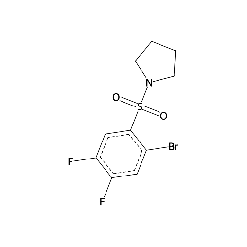 O=S(=O)(c1cc(F)c(F)cc1Br)N1CCCC1